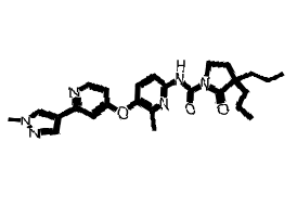 CCCC1(CCC)CCN(C(=O)Nc2ccc(Oc3ccnc(-c4cnn(C)c4)c3)c(C)n2)C1=O